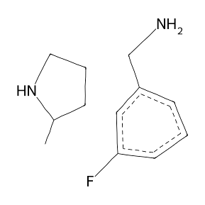 CC1CCCN1.NCc1cccc(F)c1